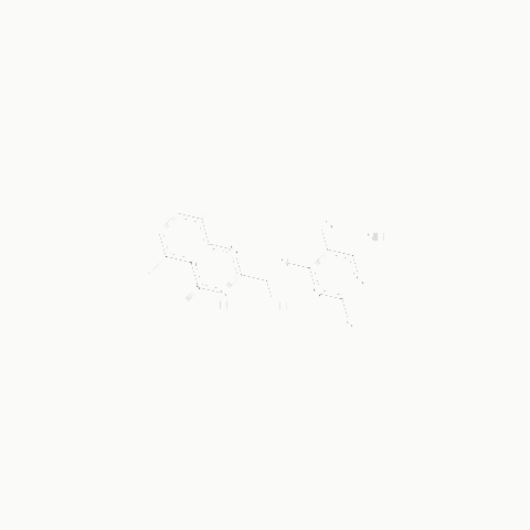 CC(Nc1nc(N)nc(N)c1C#N)c1nc2c(F)ccc(Cl)c2c(=O)[nH]1